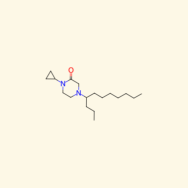 CCCCCCCC(CCC)N1CCN(C2CC2)C(=O)C1